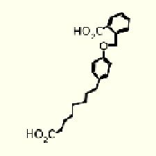 O=C(O)CCCCCCCc1ccc(OCc2ccccc2C(=O)O)cc1